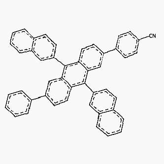 N#Cc1ccc(-c2ccc3c(-c4ccc5ccccc5c4)c4cc(-c5ccccc5)ccc4c(-c4ccc5ccccc5c4)c3c2)cc1